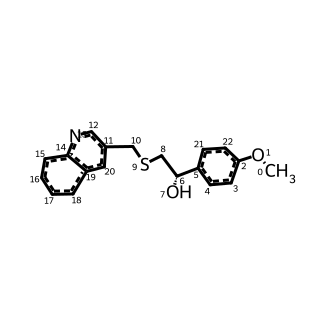 COc1ccc([C@H](O)CSCc2cnc3ccccc3c2)cc1